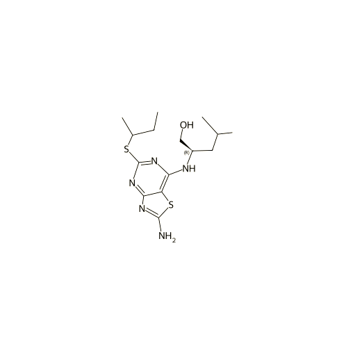 CCC(C)Sc1nc(N[C@@H](CO)CC(C)C)c2sc(N)nc2n1